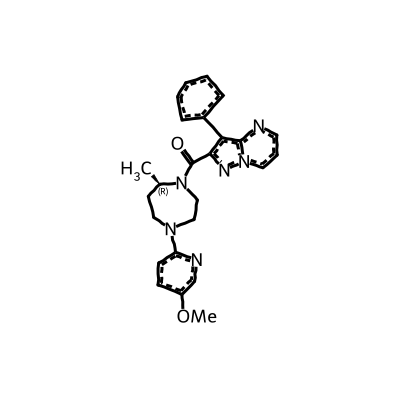 COc1ccc(N2CC[C@@H](C)N(C(=O)c3nn4cccnc4c3-c3ccccc3)CC2)nc1